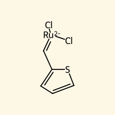 [Cl][Ru-2]([Cl])=[CH]c1cccs1